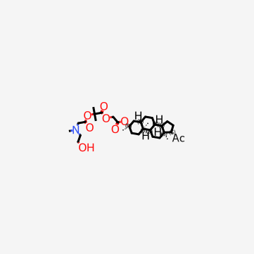 CC(=O)[C@H]1CC[C@H]2[C@@H]3CC[C@H]4C[C@](C)(OC(=O)COC(=O)C(C)(C)OC(=O)CN(C)CCO)CC[C@]4(C)[C@H]3CC[C@]12C